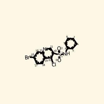 O=S(=O)(Nc1ccccc1)c1cnc2cc(Br)ccc2c1Cl